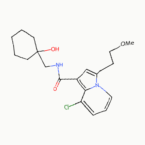 COCCc1cc(C(=O)NCC2(O)CCCCC2)c2c(Cl)cccn12